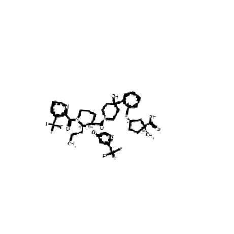 CCC[C@H]1N(C(=O)c2ncccc2C(F)(F)F)CCC[C@@]1(Oc1csc(C(F)(F)F)c1)C(=O)N1CCC(O)(c2ccccc2S[C@@H]2CC[C@@](C)(C(=O)O)C2)CC1